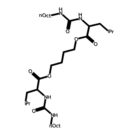 CCCCCCCCNC(=O)NC(CC(C)C)C(=O)OCCCCOC(=O)C(CC(C)C)NC(=O)NCCCCCCCC